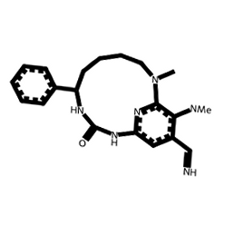 CNc1c(C=N)cc2nc1N(C)CCCCC(c1ccccc1)NC(=O)N2